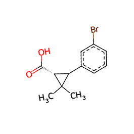 CC1(C)C(c2cccc(Br)c2)[C@H]1C(=O)O